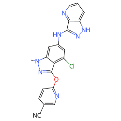 Cn1nc(Oc2ccc(C#N)cn2)c2c(Cl)cc(Nc3n[nH]c4cccnc34)cc21